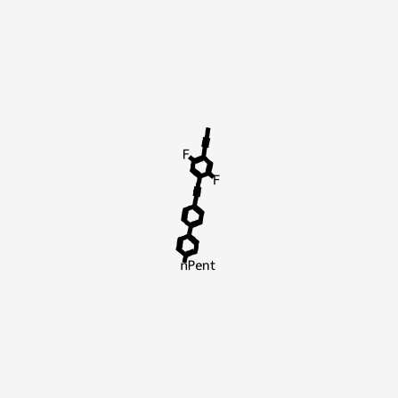 CC#Cc1cc(F)c(C#Cc2ccc(-c3ccc(CCCCC)cc3)cc2)cc1F